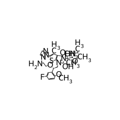 COc1ccc(F)cc1[C@H](CN1c2sc(-n3nccn3)c(C)c2C(=O)N(C(C)(C)C(=O)NC(C)C)C1O)OCCN